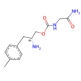 Cc1ccc(C[C@@H](N)COC(=O)NCC(N)=O)cc1